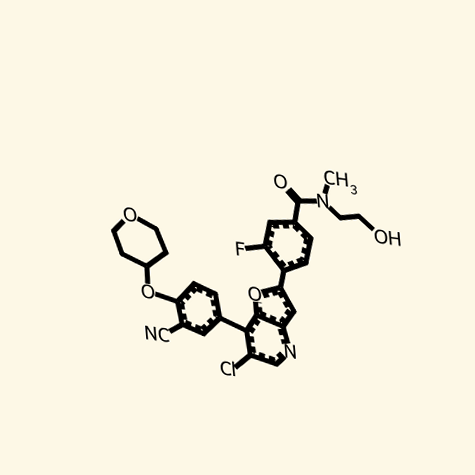 CN(CCO)C(=O)c1ccc(-c2cc3ncc(Cl)c(-c4ccc(OC5CCOCC5)c(C#N)c4)c3o2)c(F)c1